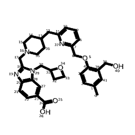 Cc1ccc(OCc2cccc(CC3CCN(Cc4nc5ccc(C(=O)O)cc5n4CC4CCO4)CC3)n2)c(CO)c1